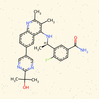 Cc1nc2ccc(-c3cnc(C(C)(C)O)nc3)cc2c(N[C@H](C)c2cc(C(N)=O)ccc2F)c1C